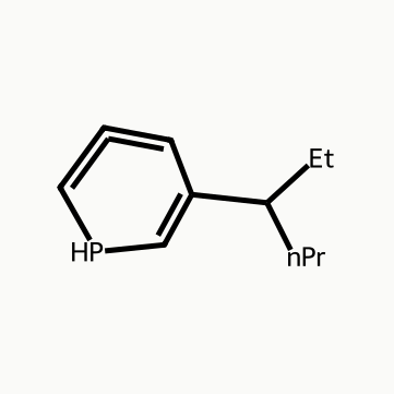 CCCC(CC)C1=CPC=C=C1